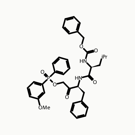 COc1cccc(P(=O)(OCC(=O)[C@H](Cc2ccccc2)NC(=O)[C@H](CC(C)C)NC(=O)OCc2ccccc2)c2ccccc2)c1